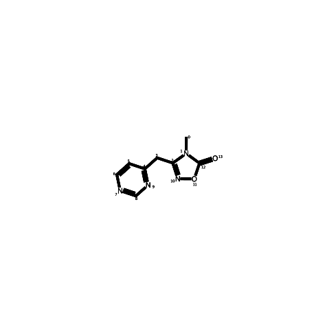 Cn1c(Cc2ccncn2)noc1=O